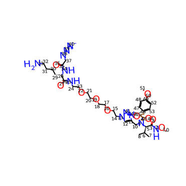 CONC(=O)[C@@H](C(C)C)N(Cc1cn(CCOCCOCCOCCNC(=O)[C@H](CCCCN)NC(=O)CN=[N+]=[N-])nn1)S(=O)(=O)c1ccc(OC)cc1